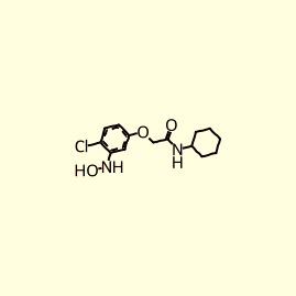 O=C(COc1ccc(Cl)c(NO)c1)NC1CCCCC1